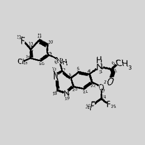 CC(=O)Nc1cc2c(Nc3ccc(F)c(Cl)c3)ncnc2cc1OC(F)F